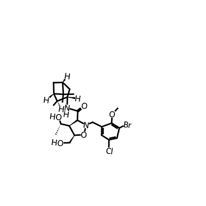 COc1c(Br)cc(Cl)cc1CN1O[C@@H](CO)[C@@H]([C@H](C)O)C1C(=O)N[C@H]1C[C@H]2C[C@@H]([C@@H]1C)C2(C)C